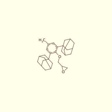 Cc1cc(C23CC4CC(CC(C4)C2)C3)c(OCC2CO2)c(C23CC4CC(CC(C4)C2)C3)c1